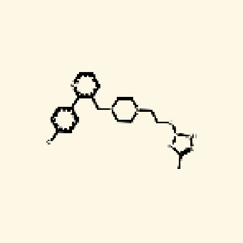 [CH2]C1=NNN(OCCN2CCN(Cc3cccnc3-c3ccc(Cl)cc3)CC2)N1